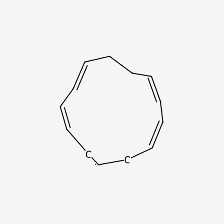 [CH]1CC=CC=CCCC=CC=CC1